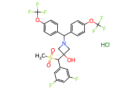 CS(=O)(=O)C(c1cc(F)cc(F)c1)C1(O)CN(C(c2ccc(OC(F)(F)F)cc2)c2ccc(OC(F)(F)F)cc2)C1.Cl